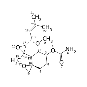 COC1C(OC(N)=O)CC[C@]2(CO2)C1C1(C)O[C@@H]1CC=C(C)C